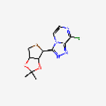 CC1(C)OC2CS[C@@H](c3nnc4c(Cl)nccn34)C2O1